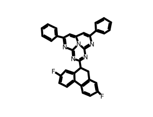 Fc1ccc2c(c1)CC(C1=NC3=NC(c4ccccc4)=CC4=CC(c5ccccc5)=NC(=N1)N43)c1cc(F)ccc1-2